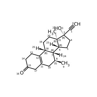 C#C[C@@]1(O)CC[C@@H]2[C@@H]3[C@@H](C)CC4=C(CCC(=O)C4)[C@@H]3CC[C@]21C